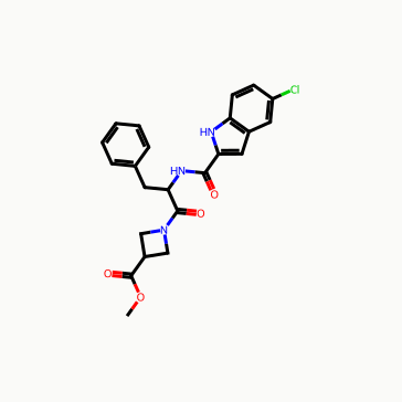 COC(=O)C1CN(C(=O)C(Cc2ccccc2)NC(=O)c2cc3cc(Cl)ccc3[nH]2)C1